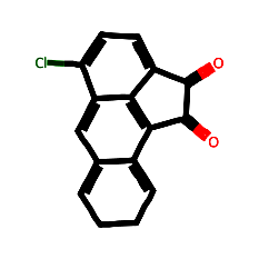 O=C1C(=O)c2c3c(cc4c(Cl)ccc1c24)=CCCC=3